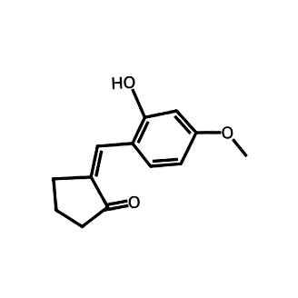 COc1ccc(C=C2CCCC2=O)c(O)c1